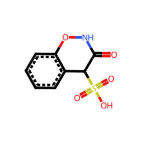 O=C1NOc2ccccc2C1S(=O)(=O)O